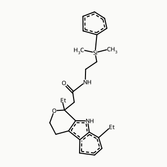 CCc1cccc2c3c([nH]c12)C(CC)(CC(=O)NCC[Si](C)(C)c1ccccc1)OCC3